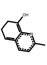 Cc1ccc2c(n1)=C(O)CCC=2